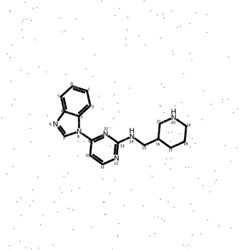 c1ccc2c(c1)ncn2-c1ccnc(NCC2CCCNC2)n1